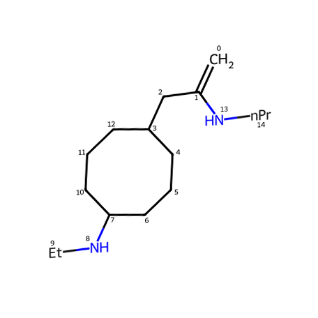 C=C(CC1CCCC(NCC)CCC1)NCCC